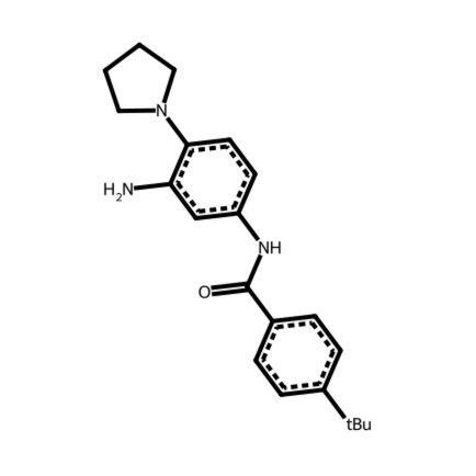 CC(C)(C)c1ccc(C(=O)Nc2ccc(N3CCCC3)c(N)c2)cc1